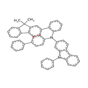 CC1(C)c2ccccc2-c2ccc(-c3ccccc3N(c3ccc(-c4ccccc4)cc3)c3ccc4c5ccccc5n(-c5ccccc5)c4c3)cc21